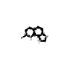 Fc1ccc2ccc3nc[nH]c3c2n1